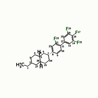 CCC1CC[C@@H]2C[C@H](c3ccc(-c4cc(F)c(F)c(F)c4)c(F)c3)CC[C@@H]2C1